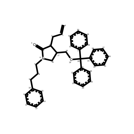 C=CCC1C(=O)N(CCCc2ccccc2)CC1COC(c1ccccc1)(c1ccccc1)c1ccccc1